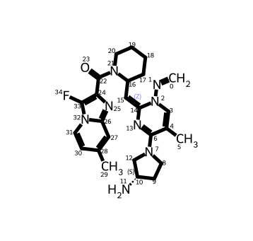 C=NN1C=C(C)C(N2CC[C@H](N)C2)=N/C1=C/C1CCCCN1C(=O)c1nc2cc(C)ccn2c1F